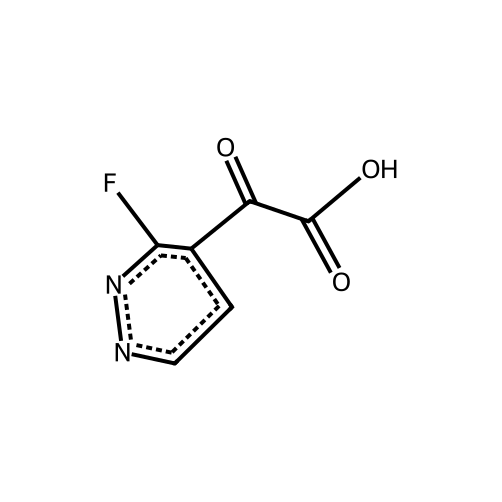 O=C(O)C(=O)c1ccnnc1F